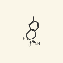 Cc1ccc2c(c1)CNS(=N)(=O)C2